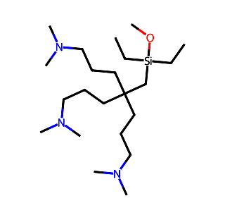 CC[Si](CC)(CC(CCCN(C)C)(CCCN(C)C)CCCN(C)C)OC